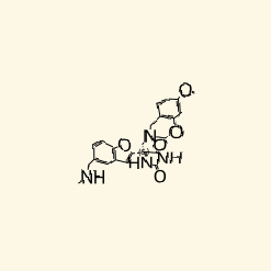 CNCc1ccc2oc([C@]3(CN4COc5cc(OC)ccc5C4)NC(=O)NC3=O)cc2c1